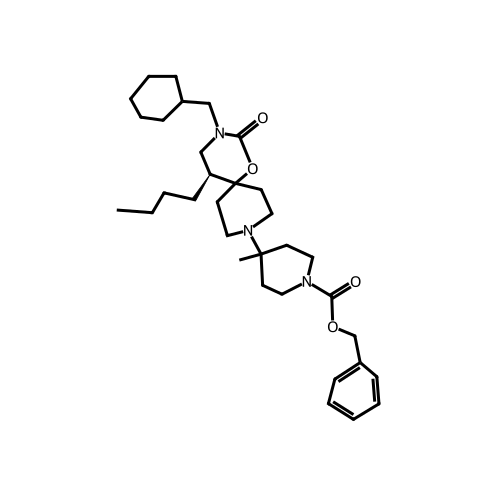 CCCC[C@H]1CN(CC2CCCCC2)C(=O)OC12CCN(C1(C)CCN(C(=O)OCc3ccccc3)CC1)CC2